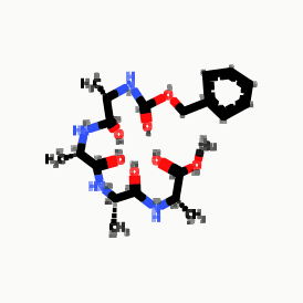 C[C@H](NC(=O)OCc1ccccc1)C(=O)N[C@@H](C)C(=O)N[C@@H](C)C(=O)N[C@@H](C)C(=O)OC(C)(C)C